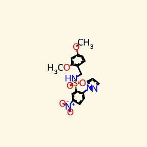 COc1ccc(CNS(=O)(=O)c2cc([N+](=O)[O-])ccc2-n2cccn2)c(OC)c1